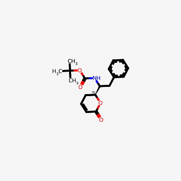 CC(C)(C)OC(=O)NC(Cc1ccccc1)[C@@H]1CC=CC(=O)O1